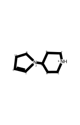 C1=CN(C2CCNCC2)CC1